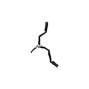 C=CC[N+](C)CC=C